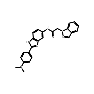 CN(C)c1ccc(-c2nc3cc(NC(=O)Cn4ncc5ccccc54)ccc3[nH]2)cc1